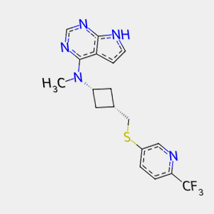 CN(c1ncnc2[nH]ccc12)[C@H]1C[C@@H](CSc2ccc(C(F)(F)F)nc2)C1